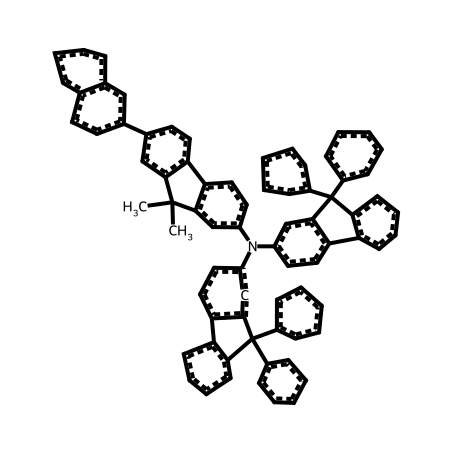 CC1(C)c2cc(-c3ccc4ccccc4c3)ccc2-c2ccc(N(c3ccc4c(c3)C(c3ccccc3)(c3ccccc3)c3ccccc3-4)c3ccc4c(c3)C(c3ccccc3)(c3ccccc3)c3ccccc3-4)cc21